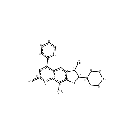 Cc1c2c(cc3c(-c4ccccc4)cc(=O)oc13)C(C)C(N1CCOCC1)O2